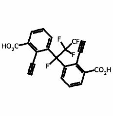 C#Cc1c(C(=O)O)cccc1C(F)(c1cccc(C(=O)O)c1C#C)C(F)(F)C(F)(F)F